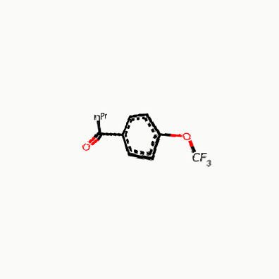 CCCC(=O)c1ccc(OC(F)(F)F)cc1